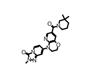 Cn1nc2cc(N3CCOc4cc(C(=O)N5CCCC(C)(C)C5)cnc43)ccn2c1=O